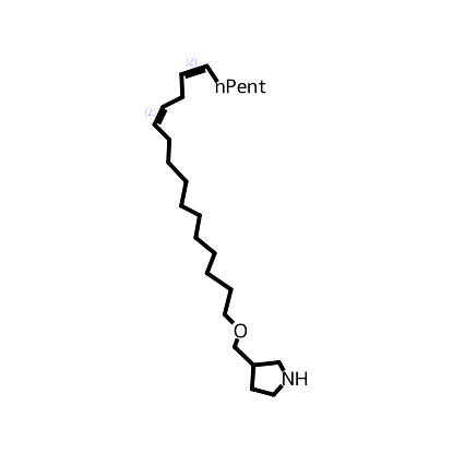 CCCCC/C=C\C/C=C\CCCCCCCCCCOCC1CCNC1